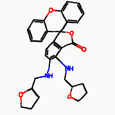 O=C1OC2(c3ccccc3Oc3ccccc32)c2ccc(NCC3CCCO3)c(NCC3CCCO3)c21